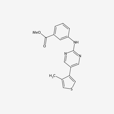 COC(=O)c1cccc(Nc2ncc(-c3cscc3C)cn2)c1